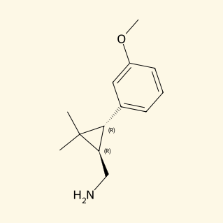 COc1cccc([C@@H]2[C@@H](CN)C2(C)C)c1